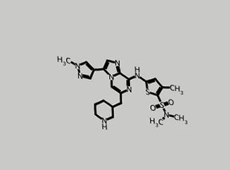 Cc1cc(Nc2nc(CC3CCCNC3)cn3c(-c4cnn(C)c4)cnc23)sc1S(=O)(=O)N(C)C